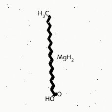 CCCCCCCCCC=CC=CC=CC=CC=CC(=O)O.[MgH2]